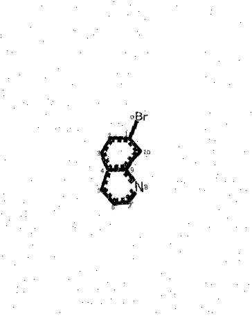 Brc1ccc2cc[c]nc2c1